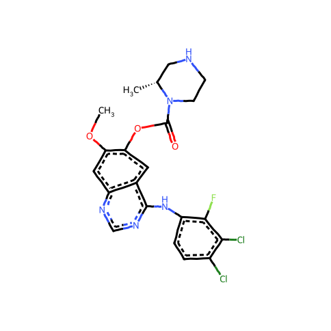 COc1cc2ncnc(Nc3ccc(Cl)c(Cl)c3F)c2cc1OC(=O)N1CCNC[C@H]1C